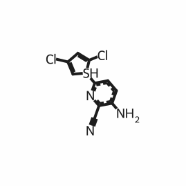 N#Cc1nc([SH]2C=C(Cl)C=C2Cl)ccc1N